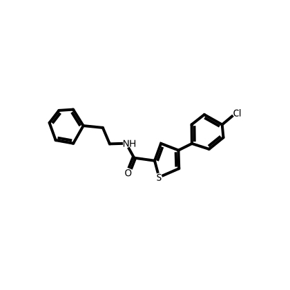 O=C(NCCc1ccccc1)c1cc(-c2ccc(Cl)cc2)cs1